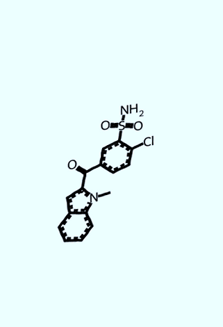 Cn1c(C(=O)c2ccc(Cl)c(S(N)(=O)=O)c2)cc2ccccc21